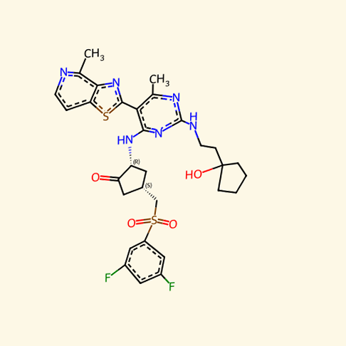 Cc1nc(NCCC2(O)CCCC2)nc(N[C@@H]2C[C@H](CS(=O)(=O)c3cc(F)cc(F)c3)CC2=O)c1-c1nc2c(C)nccc2s1